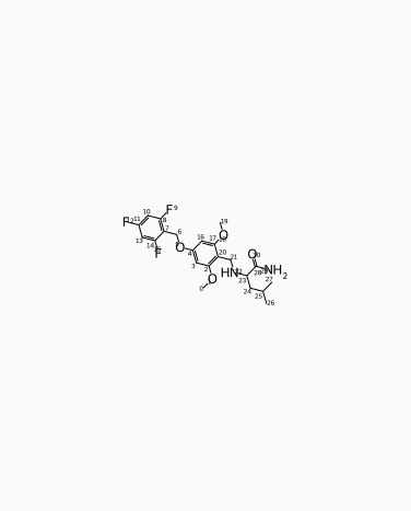 COc1cc(OCc2c(F)cc(F)cc2F)cc(OC)c1CNC(CC(C)C)C(N)=O